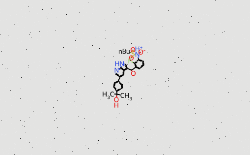 CCCCS(=O)(=O)[NH+]([O-])c1cccc(C(=O)c2c[nH]c3ncc(-c4ccc(C(C)(C)O)cc4)cc23)c1F